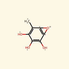 Cc1c(O)c(O)c(O)c2c1O2